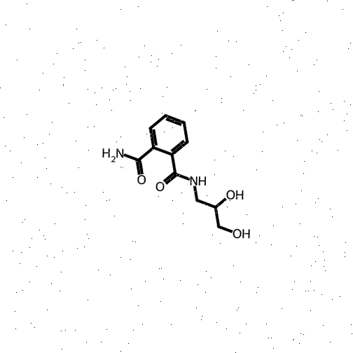 NC(=O)c1ccccc1C(=O)NCC(O)CO